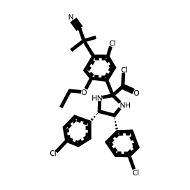 CCOc1cc(C(C)(C)C#N)c(Cl)cc1C1(C(=O)Cl)N[C@H](c2ccc(Cl)cc2)[C@H](c2ccc(Cl)cc2)N1